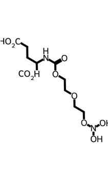 O=C(O)CCC(NC(=O)OCCOCCON(O)O)C(=O)O